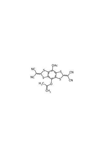 C=C(C)Oc1c2c(c(OC(C)=O)c3c1SC(=C(C#N)C#N)S3)SC(=C(C#N)C#N)S2